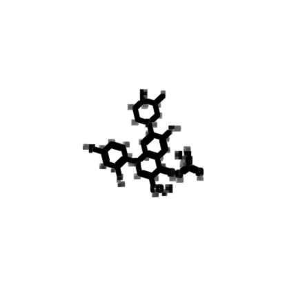 CC1CN(c2cc3c(cc2F)c(=O)c(C(=O)O)cn3-c2ccc(F)cc2F)CCN1.N[SH](=O)=O